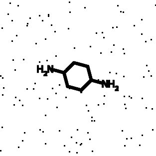 NC1[CH]CC(N)CC1